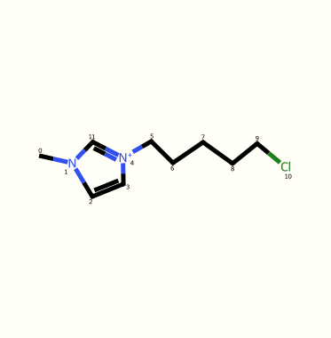 Cn1cc[n+](CCCCCCl)c1